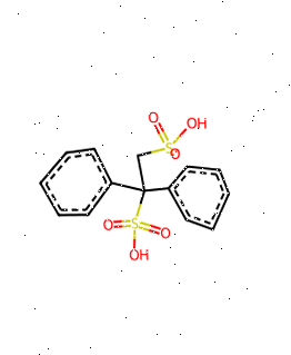 O=S(=O)(O)CC(c1ccccc1)(c1ccccc1)S(=O)(=O)O